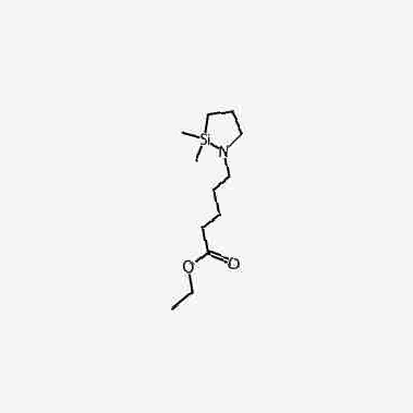 CCOC(=O)CCCCN1CCC[Si]1(C)C